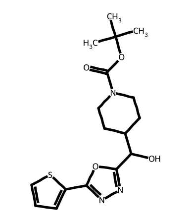 CC(C)(C)OC(=O)N1CCC(C(O)c2nnc(-c3cccs3)o2)CC1